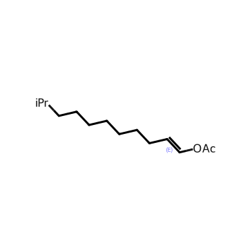 CC(=O)O/C=C/CCCCCCCC(C)C